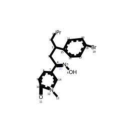 CC(C)CC(C/C(=N/O)c1ccc(=O)n(C)c1)c1ccc(Br)cc1